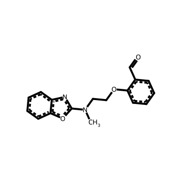 CN(CCOc1ccccc1C=O)c1nc2ccccc2o1